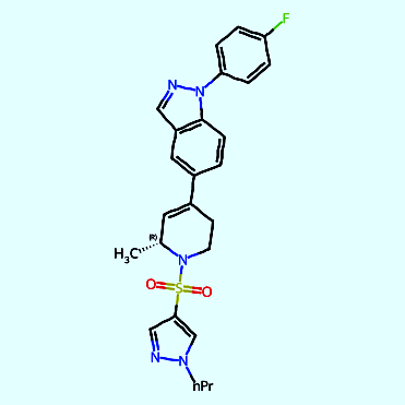 CCCn1cc(S(=O)(=O)N2CCC(c3ccc4c(cnn4-c4ccc(F)cc4)c3)=C[C@H]2C)cn1